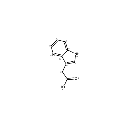 O=C(O)Cc1c[nH]c2cccnc12